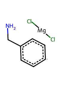 NCc1cc[c]cc1.[Cl][Mg][Cl]